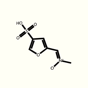 C[N+]([O-])=Cc1cc(S(=O)(=O)O)co1